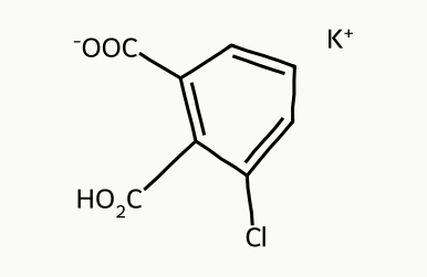 O=C([O-])c1cccc(Cl)c1C(=O)O.[K+]